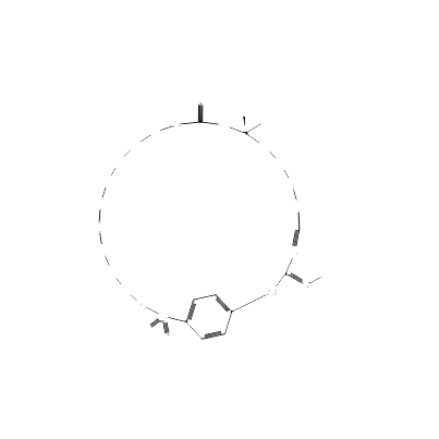 C/N=C1\N=C/CCCC[C@@H](C)OC(=O)NCCCCCCCCCNS(=O)(=O)c2ccc(cc2)N1